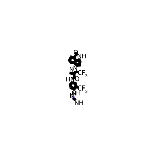 N=C/C=N\Nc1ccc(NC(=O)c2cnn(-c3ccc4c5c(cccc35)C(=O)N4)c2C(F)(F)F)cc1C(F)(F)F